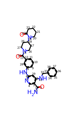 NC(=O)c1cnc(Nc2cccc(C(=O)N3CCC(N4CCCCC4=O)CC3)c2)cc1NCc1ccccc1